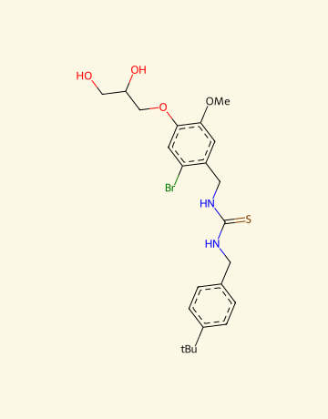 COc1cc(CNC(=S)NCc2ccc(C(C)(C)C)cc2)c(Br)cc1OCC(O)CO